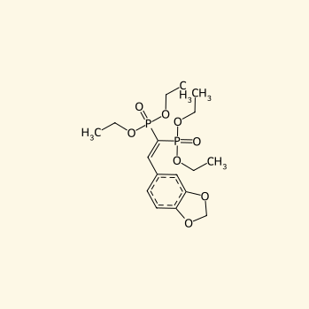 CCOP(=O)(OCC)C(=Cc1ccc2c(c1)OCO2)P(=O)(OCC)OCC